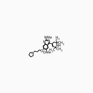 CNc1nc(C2=CC(C)(C)NC(C)(C)C2)c2cc(OC)c(OCCCN3CCCC3)cc2n1